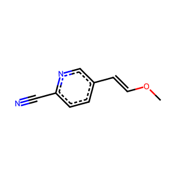 COC=Cc1ccc(C#N)nc1